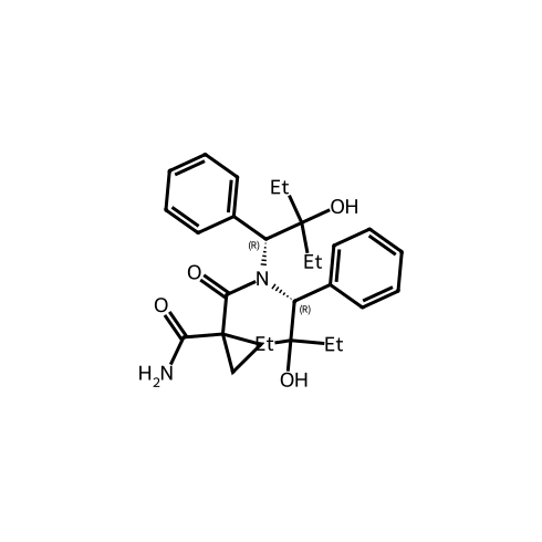 CCC(O)(CC)[C@@H](c1ccccc1)N(C(=O)C1(C(N)=O)CC1)[C@H](c1ccccc1)C(O)(CC)CC